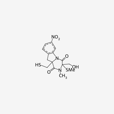 CSC1(CO)C(=O)N2c3cc([N+](=O)[O-])ccc3CC2(CS)C(=O)N1C